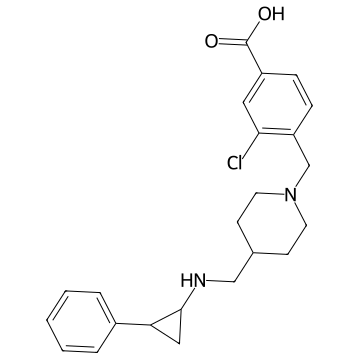 O=C(O)c1ccc(CN2CCC(CNC3CC3c3ccccc3)CC2)c(Cl)c1